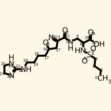 CCCCS(=O)(=O)NC(CNC(=O)C1=NOC(CCCCNC2=NCCN2)C1)C(=O)O